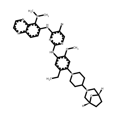 CCc1cc(Nc2ncc(Br)c(Nc3ccc4nccnc4c3P(C)C)n2)c(OC)cc1N1CCC(N2C[C@H]3CC[C@@H](C2)O3)CC1